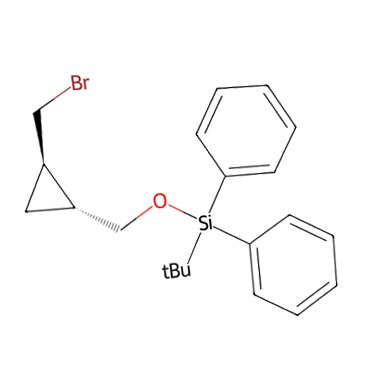 CC(C)(C)[Si](OC[C@@H]1C[C@H]1CBr)(c1ccccc1)c1ccccc1